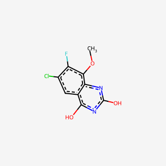 COc1c(F)c(Cl)cc2c(O)nc(O)nc12